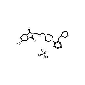 O=C1C2CCC(O)CC2C(=O)N1CCCN1CCN(c2ccccc2OC2CCCC2)CC1.O=P(O)(O)O